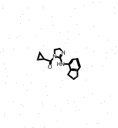 O=C(C1CC1)N1CCN=C1Nc1cccc2c1CCC2